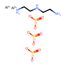 NCCNCCN.O=[PH]([O-])[O-].O=[PH]([O-])[O-].O=[PH]([O-])[O-].[Al+3].[Al+3]